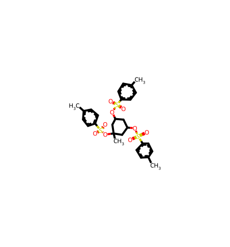 Cc1ccc(S(=O)(=O)OC2CC(OS(=O)(=O)c3ccc(C)cc3)CC(C)(OS(=O)(=O)c3ccc(C)cc3)C2)cc1